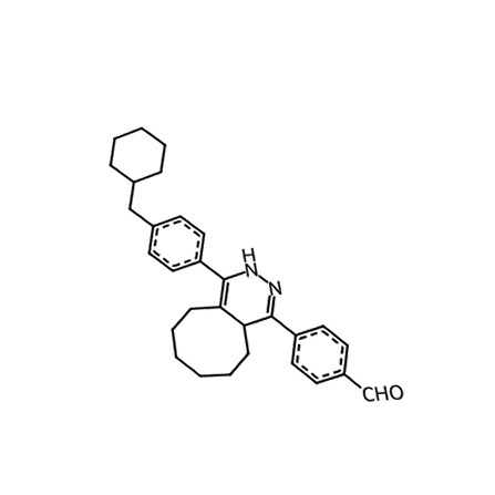 O=Cc1ccc(C2=NNC(c3ccc(CC4CCCCC4)cc3)=C3CCCCCCC23)cc1